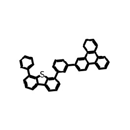 C1=Cc2c(c3cc(-c4cccc(-c5cccc6c5sc5c(-c7ccccc7)cccc56)c4)ccc3c3ccccc23)CC1